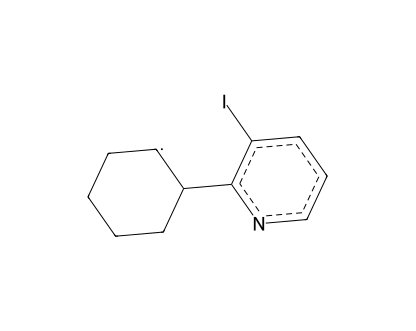 Ic1cccnc1C1[CH]CCCC1